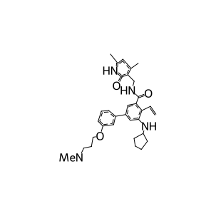 C=Cc1c(NC2CCCC2)cc(-c2cccc(OCCCNC)c2)cc1C(=O)NCc1c(C)cc(C)[nH]c1=O